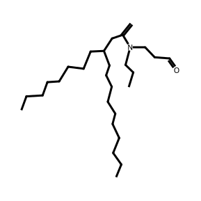 C=C(CC(CCCCCCCC)CCCCCCCCCC)N(CCC)CCC=O